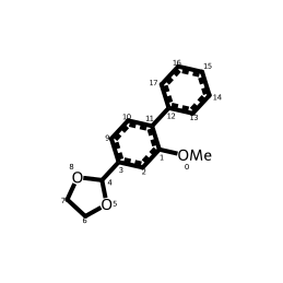 COc1cc(C2OCCO2)ccc1-c1ccccc1